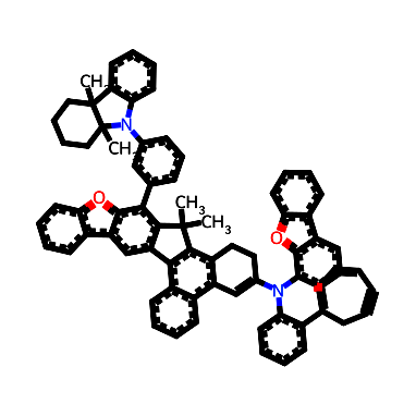 CC1(C)c2c3c(c4ccccc4c2-c2cc4c(oc5ccccc54)c(-c4cccc(N5c6ccccc6C6(C)CCCCC56C)c4)c21)C=C(N(c1ccccc1C1=CC=CC#CC1)c1cccc2c1oc1ccccc12)CC3